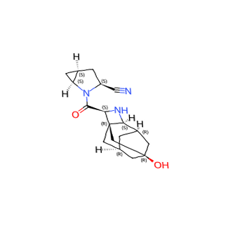 N#C[C@@H]1C[C@@H]2C[C@@H]2N1C(=O)[C@H]1N[C@H]2[C@@H]3C[C@H]4C[C@@](O)(C3)C[C@@]12C4